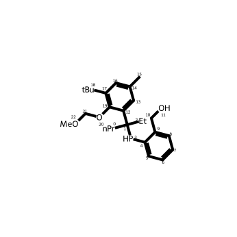 CCCC(CC)(Pc1ccccc1CO)c1cc(C)cc(C(C)(C)C)c1OCOC